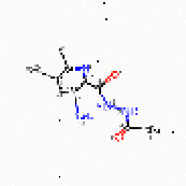 Cc1nc(C(=O)NNC(=O)C(C)(C)C)c(N)cc1C(C)C